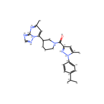 Cc1cc(C2CCCN(C(=O)c3cc(C)n(-c4ccc(C(C)C)cc4)n3)C2)n2ncnc2n1